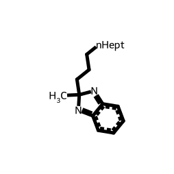 CCCCCCCCCCC1(C)N=c2ccccc2=N1